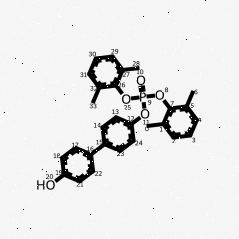 Cc1cccc(C)c1OP(=O)(Oc1ccc(-c2ccc(O)cc2)cc1)Oc1c(C)cccc1C